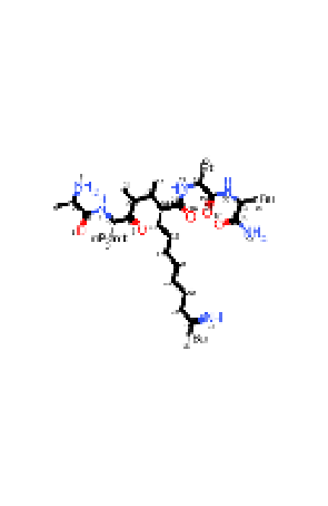 CCCCC[C@H](NC(=O)[C@@H](C)N)C(=O)C(C)C(C)[C@H](CCCCCCCC(=N)CCCC)C(=O)NC(CC)C(=O)NC(CCCC)C(N)=O